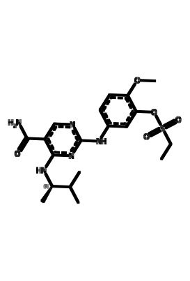 CCS(=O)(=O)Oc1cc(Nc2ncc(C(N)=O)c(N[C@H](C)C(C)C)n2)ccc1OC